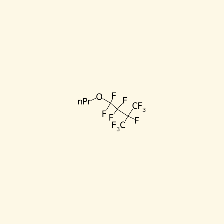 CCCOC(F)(F)C(F)(F)C(F)(C(F)(F)F)C(F)(F)F